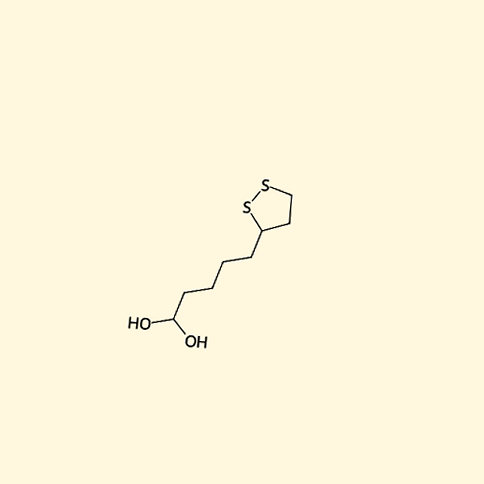 OC(O)CCCCC1CCSS1